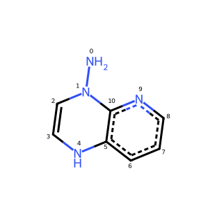 NN1C=CNc2cccnc21